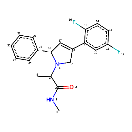 CNC(=O)C(C)N1CC(c2cc(F)ccc2F)=C[C@H]1c1ccccc1